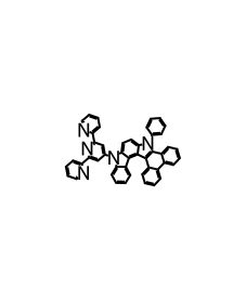 c1ccc(-n2c3ccc4c(c5ccccc5n4-c4cc(-c5ccccn5)nc(-c5ccccn5)c4)c3c3c4ccccc4c4ccccc4c32)cc1